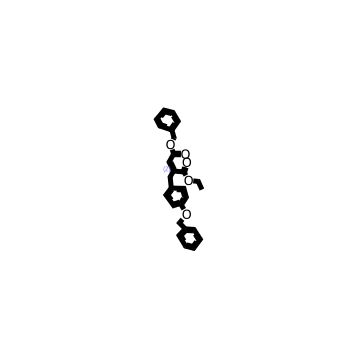 CCOC(=O)/C(=C\C(=O)OCc1ccccc1)Cc1ccc(OCc2ccccc2)cc1